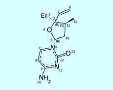 C=C[C@]1(CC)O[C@@H](n2ccc(N)nc2=O)C[C@@H]1C